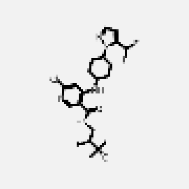 CC(C)(O)C(F)CNC(=O)c1cnc(Cl)cc1NC1CCC(n2nccc2C(F)F)CC1